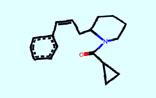 O=C(C1CC1)N1CCCCC1C/C=C\c1ccccc1